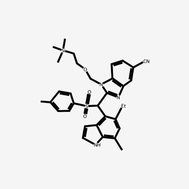 CCc1cc(C)c2[nH]ccc2c1C(c1nc2cc(C#N)ccc2n1COCC[Si](C)(C)C)S(=O)(=O)c1ccc(C)cc1